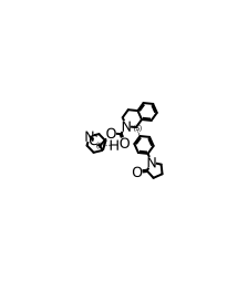 O=C1CCCN1c1ccc([C@H]2c3ccccc3CCN2C(=O)O[C@@H]2CN3CCC2CC3)cc1